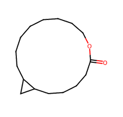 O=C1CCCCC2CC2CCCCCCCCO1